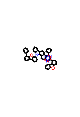 Cc1ccccc1-c1ccc2c3ccccc3n(-c3cccc4c3oc3c(-c5ccccc5)cccc34)c2c1/C=C\c1nc(-c2ccccc2)nc(-c2cccc3c2C2C=CC=CC2O3)n1